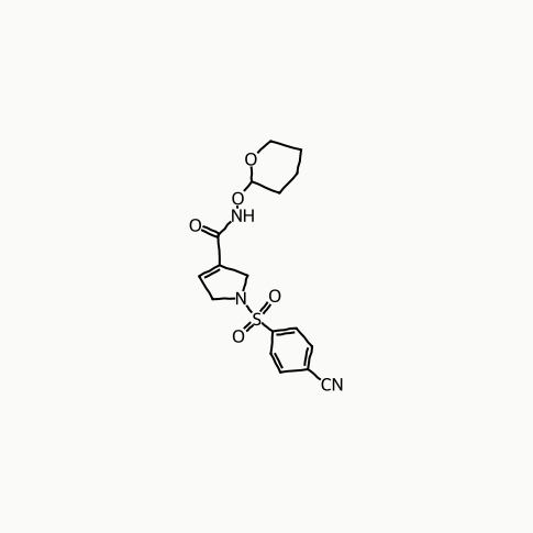 N#Cc1ccc(S(=O)(=O)N2CC=C(C(=O)NOC3CCCCO3)C2)cc1